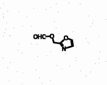 O=COCc1ncco1